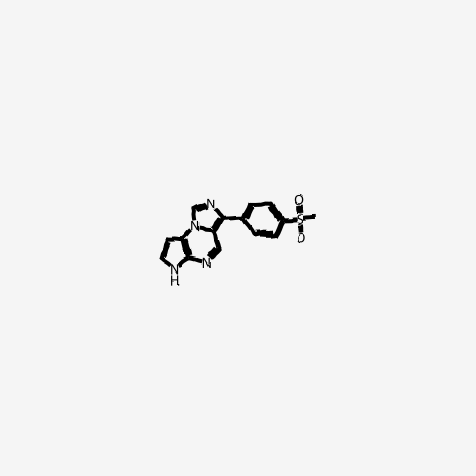 CS(=O)(=O)c1ccc(-c2ncn3c2cnc2[nH]ccc23)cc1